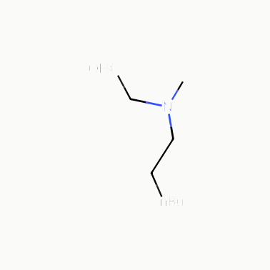 CCCCCCN(C)C[C]=O